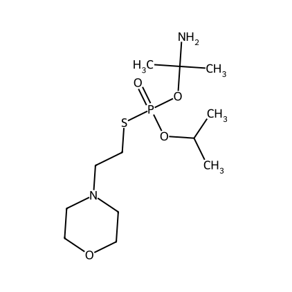 CC(C)OP(=O)(OC(C)(C)N)SCCN1CCOCC1